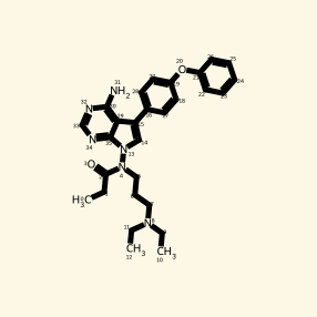 CCC(=O)N(CCCN(CC)CC)n1cc(-c2ccc(Oc3ccccc3)cc2)c2c(N)ncnc21